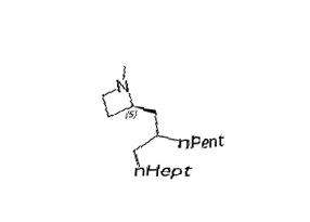 CCCCCCCCC(CCCCC)C[C@H]1CCN1C